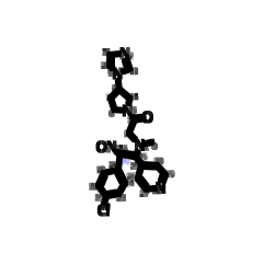 CN(CC(=O)N1CCC(n2ccnc2)C1)/C(=C(\N=O)c1ccc(Cl)cc1)c1ccncc1